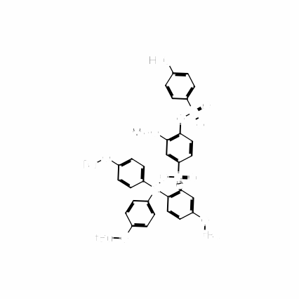 COc1cc(S(=O)(=O)OS(c2ccc(OC(C)(C)C)cc2)(c2ccc(OC(C)(C)C)cc2)c2ccc(OC(C)(C)C)cc2)ccc1OS(=O)(=O)c1ccc(C)cc1